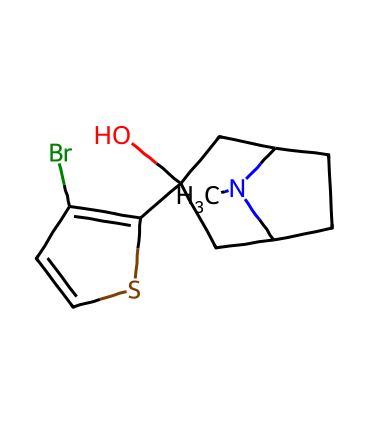 CN1C2CCC1CC(O)(c1sccc1Br)C2